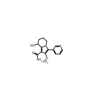 COc1c(C(N)=O)c2n(c1-c1cccnc1)CCCC2O